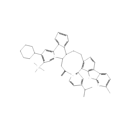 C=C1CC2C(CCc3ccc4c(oc5nc(C)ccc54)c3-c3cc(C(C)C)cc[n+]31)c1ccccc1-c1cc(C3CCCCC3)c([Si](C)(C)C)c[n+]12